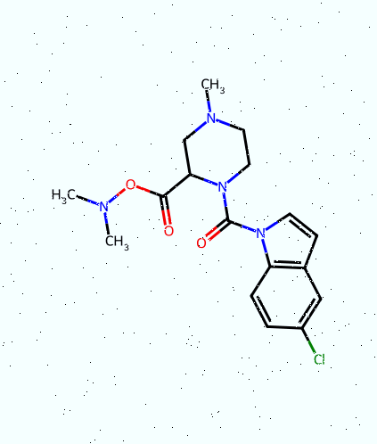 CN1CCN(C(=O)n2ccc3cc(Cl)ccc32)C(C(=O)ON(C)C)C1